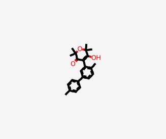 Cc1ccc(-c2ccc(C)c(C3=C(O)C(C)(C)OC(C)(C)C3=O)c2)cc1